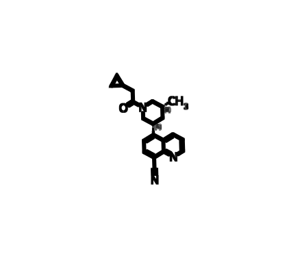 C[C@@H]1C[C@H](c2ccc(C#N)c3ncccc23)CN(C(=O)CC2CC2)C1